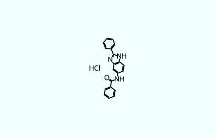 Cl.O=C(Nc1ccc2[nH]c(-c3ccccc3)nc2c1)c1ccccc1